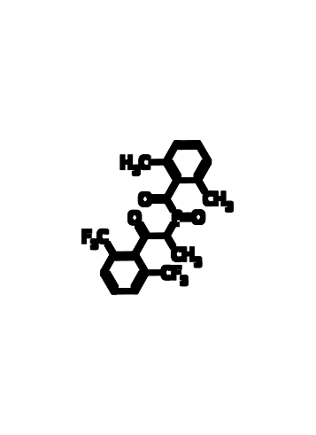 Cc1cccc(C)c1C(=O)[P](=O)C(C)C(=O)c1c(C(F)(F)F)cccc1C(F)(F)F